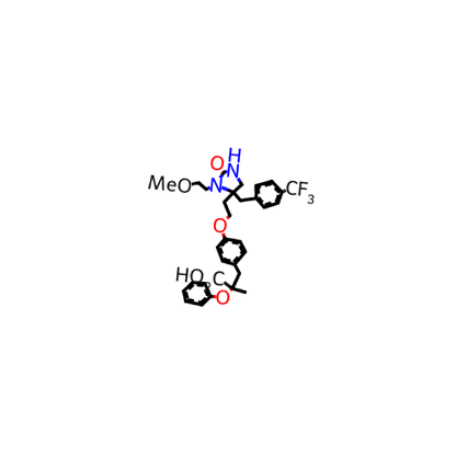 COCCN1C(=O)NCC1(CCOc1ccc(CC(C)(Oc2ccccc2)C(=O)O)cc1)Cc1ccc(C(F)(F)F)cc1